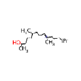 C/C(=C\CCC(C)CCCC(C)O)CCCC(C)C